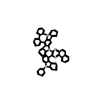 c1ccc(-n2c3ccccc3c3c(-c4nc5c(ccc6ccccc65)nc4-n4c5ccccc5c5c6c7c(cc54)c4ccccc4n7-c4ccccc4-c4ccccc4-6)cccc32)cc1